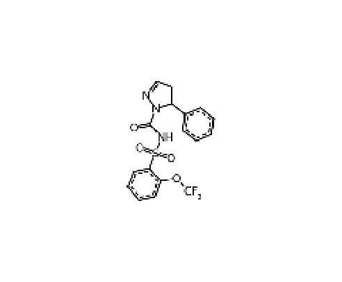 O=C(NS(=O)(=O)c1ccccc1OC(F)(F)F)N1N=CCC1c1ccccc1